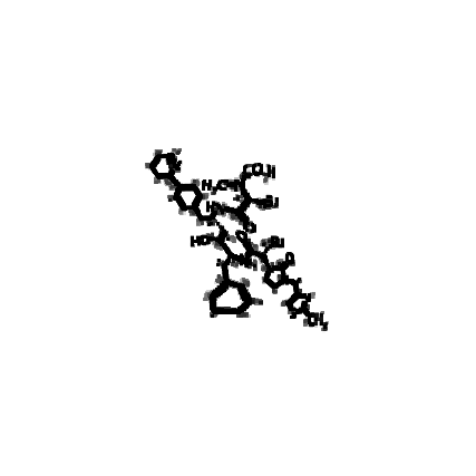 Cc1nc(CN2CCN([C@H](C(=O)N[C@@H](Cc3ccccc3)[C@@H](O)C[C@H](Cc3ccc(-c4ccccn4)cc3)NC(=O)[C@@H](N(C)C(=O)O)C(C)(C)C)C(C)(C)C)C2=O)cs1